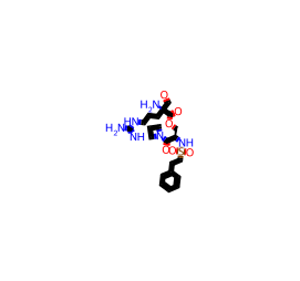 N=C(N)NCCC[C@](N)(C=O)C(=O)OC[C@@H](NS(=O)(=O)CCc1ccccc1)C(=O)N1CCC1